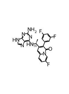 C[C@H](Nc1nc(N)nc2[nH]cnc12)c1cc2ccc(F)cn2c(=O)c1-c1cc(F)cc(F)c1